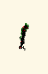 CCCCCc1ccc(-c2ccc(CCc3ccc(-c4cc(F)c(C(F)(F)Oc5cc(F)c(F)c(F)c5)c(F)c4)c(F)c3)c(F)c2)cc1